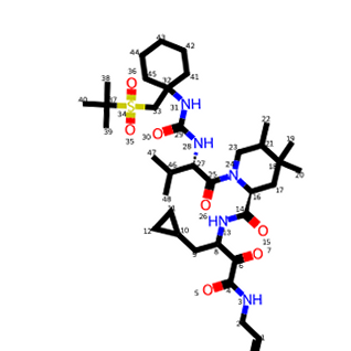 C=CCNC(=O)C(=O)C(CC1CC1)NC(=O)[C@@H]1CC(C)(C)C(C)CN1C(=O)[C@@H](NC(=O)NC1(CS(=O)(=O)C(C)(C)C)CCCCC1)C(C)C